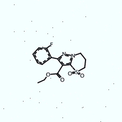 CCOC(=O)c1c(-c2ccccc2F)nn2c1S(=O)(=O)CCC2